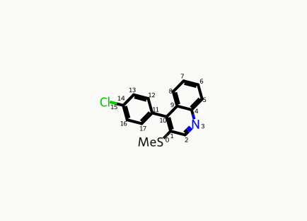 CSc1cnc2ccccc2c1-c1ccc(Cl)cc1